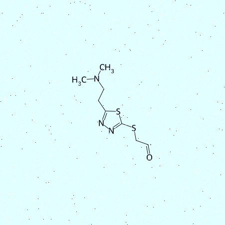 CN(C)CCc1nnc(SC[C]=O)s1